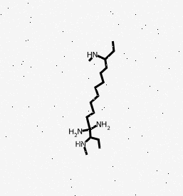 CCC(CCCCCCCCC(N)(N)C(CC)NC)NC